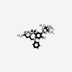 CC(C)CC1CN(c2ccccc2)c2cc(Cl)c(B3OC(C)(C)C(C)(C)O3)cc2S(=O)(=O)N1C